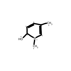 CC1=CN(C)C(O)C=C1